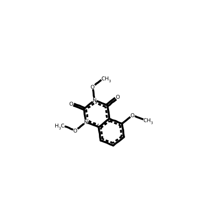 COc1cccc2c1c(=O)n(OC)c(=O)n2OC